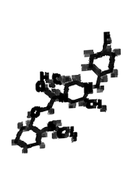 CSc1ccccc1OCC(=O)N1C[C@H](C)N(Cc2ccc(F)cc2)C[C@H]1C